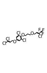 FC(F)(F)C(Cl)=CCOCCCOc1c(Cl)cc(OCC=C(Cl)Cl)cc1Cl